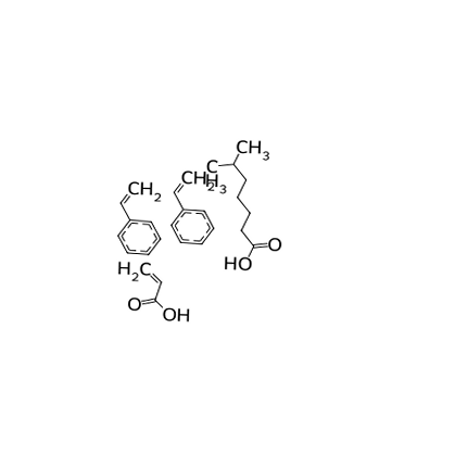 C=CC(=O)O.C=Cc1ccccc1.C=Cc1ccccc1.CC(C)CCCCC(=O)O